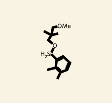 COCC(C)(C)CO[SiH2]c1cccc(C)c1C